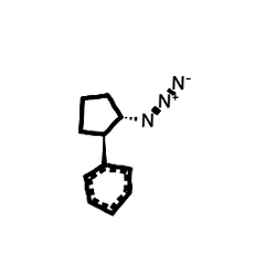 [N-]=[N+]=N[C@H]1CCC[C@@H]1c1ccccc1